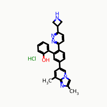 Cc1cn2cc(-c3ccc(-c4ccc(C5CNC5)nn4)c(-c4ccccc4O)c3)cc(C)c2n1.Cl